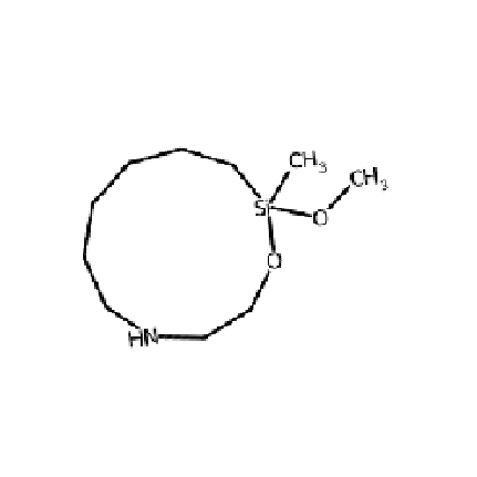 CO[Si]1(C)CCCCCCNCCO1